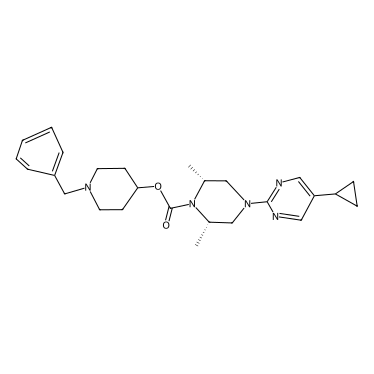 C[C@@H]1CN(c2ncc(C3CC3)cn2)C[C@H](C)N1C(=O)OC1CCN(Cc2ccccc2)CC1